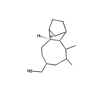 CC1CC(CS)CC[C@H]2C3CCC(C3)C2C1C